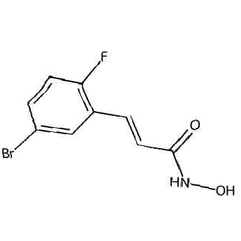 O=C(C=Cc1cc(Br)ccc1F)NO